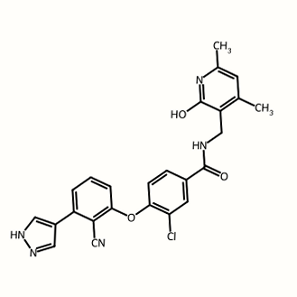 Cc1cc(C)c(CNC(=O)c2ccc(Oc3cccc(-c4cn[nH]c4)c3C#N)c(Cl)c2)c(O)n1